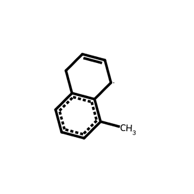 Cc1cccc2c1[CH]C=CC2